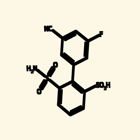 N#Cc1cc(F)cc(-c2c(S(N)(=O)=O)cccc2S(=O)(=O)O)c1